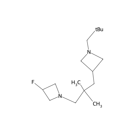 CC(C)(C)CN1CC(CC(C)(C)CN2CC(F)C2)C1